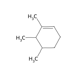 CC1=CCCC(C)C1C